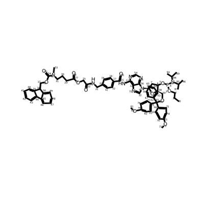 CCCOP(OC1C[C@H](n2cnc3c(NC(=O)c4ccc(CNC(=O)COC(=O)CCCN(C)C(=O)OCC5c6ccccc6-c6ccccc65)cc4)ncnc32)O[C@@H]1COC(c1ccccc1)(c1ccc(OC)cc1)c1ccc(OC)cc1)N(C(C)C)C(C)C